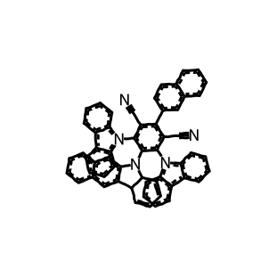 N#Cc1c(-c2ccc3ccccc3c2)c(C#N)c(-n2c3ccccc3c3ccccc32)c(N2c3cc4ccccc4cc3C3C=CC=CC32)c1-n1c2ccccc2c2ccccc21